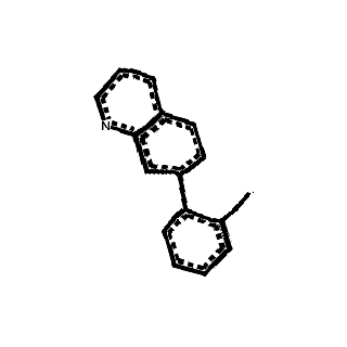 [CH2]c1ccccc1-c1ccc2cccnc2c1